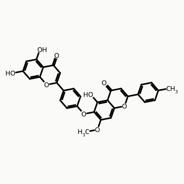 COc1cc2oc(-c3ccc(C)cc3)cc(=O)c2c(O)c1Oc1ccc(-c2cc(=O)c3c(O)cc(O)cc3o2)cc1